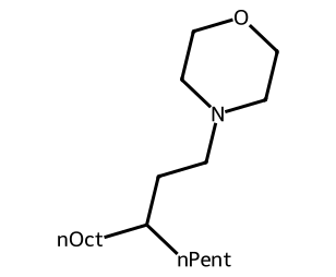 CCCCCCCCC(CCCCC)CCN1CCOCC1